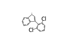 Clc1cccc(Cl)c1C1=C[CH]c2ccccc21